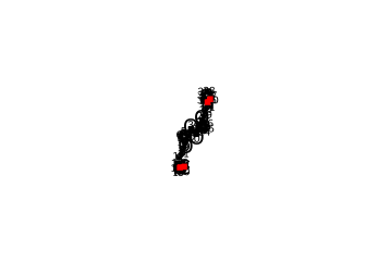 O=C(C(=O)c1cccc(OCCCN2CC3CCC(CC3)C2)c1)c1cccc(OCCCN2CC3CCC(CC3)C2)c1